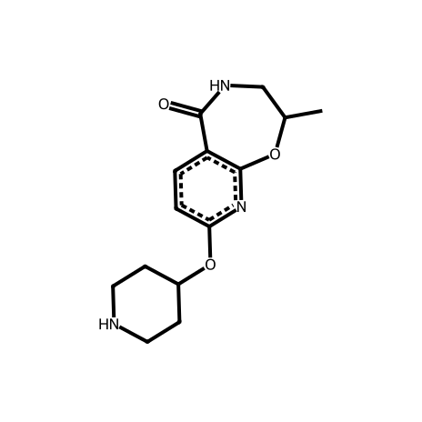 CC1CNC(=O)c2ccc(OC3CCNCC3)nc2O1